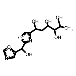 CC(O)C(O)C(O)CC(O)c1coc(C(O)c2cnco2)n1